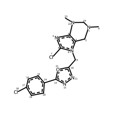 CN1Cc2c(nc(Cl)n2Cc2nnc(-c3ccc(Cl)cc3)o2)N(C)C1